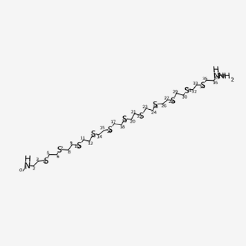 CNCCSCCSCCSCCSCCSCCSCCSCCSCCSCCSCCSCCNN